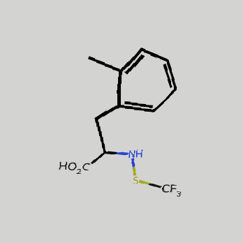 Cc1ccccc1CC(NSC(F)(F)F)C(=O)O